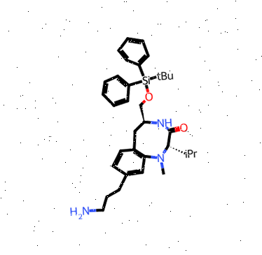 CC(C)[C@H]1C(=O)N[C@H](CO[Si](c2ccccc2)(c2ccccc2)C(C)(C)C)Cc2ccc(CCCN)cc2N1C